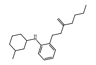 C=C(CCCC)CCc1ccccc1NC1CCCC(C)C1